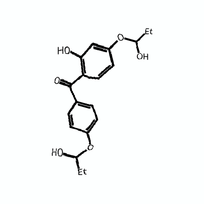 CCC(O)Oc1ccc(C(=O)c2ccc(OC(O)CC)cc2O)cc1